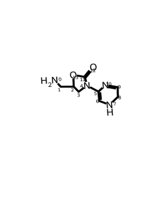 NCC1CN(C2=CNCC=N2)C(=O)O1